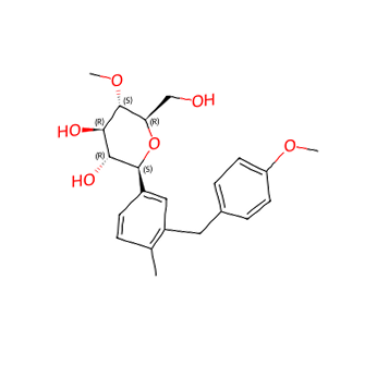 COc1ccc(Cc2cc([C@@H]3O[C@H](CO)[C@@H](OC)[C@H](O)[C@H]3O)ccc2C)cc1